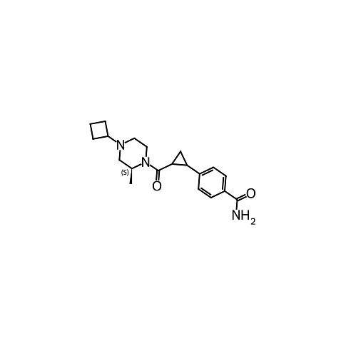 C[C@H]1CN(C2CCC2)CCN1C(=O)C1CC1c1ccc(C(N)=O)cc1